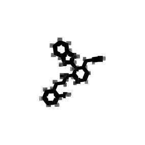 N#CCC1C=CN=C(NCCc2ccccc2F)N1c1nc2ccccc2s1